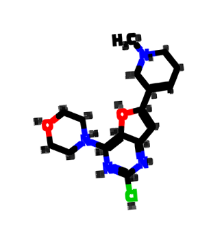 CN1CCC=C(c2cc3nc(Cl)nc(N4CCOCC4)c3o2)C1